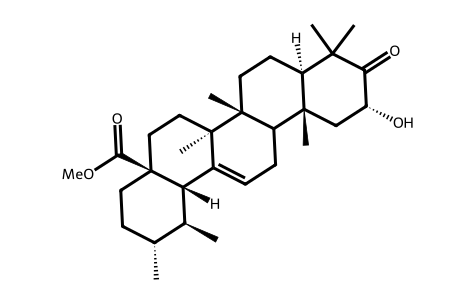 COC(=O)[C@]12CC[C@@H](C)[C@H](C)[C@H]1C1=CCC3[C@@]4(C)C[C@@H](O)C(=O)C(C)(C)[C@@H]4CC[C@@]3(C)[C@]1(C)CC2